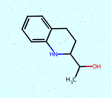 CC(O)C1CCc2ccccc2N1